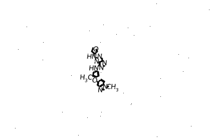 Cc1cc(Nc2ncnc3cnc(N[C@H]4CCOC4)nc23)ccc1Oc1ccc2c(c1)ncn2C